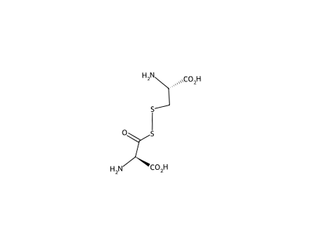 N[C@H](C(=O)O)C(=O)SSC[C@H](N)C(=O)O